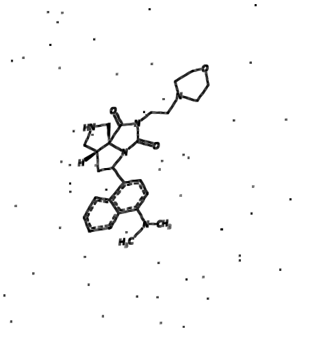 CN(C)c1ccc(C2C[C@@H]3CNC[C@]34C(=O)N(CCN3CCOCC3)C(=O)N24)c2ccccc12